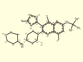 [2H]C([2H])([2H])Oc1cc(F)c2nc(N3CC[C@@H](NC4CCOCC4)C[C@H]3C)c(-c3nc(C)no3)c(C)c2c1